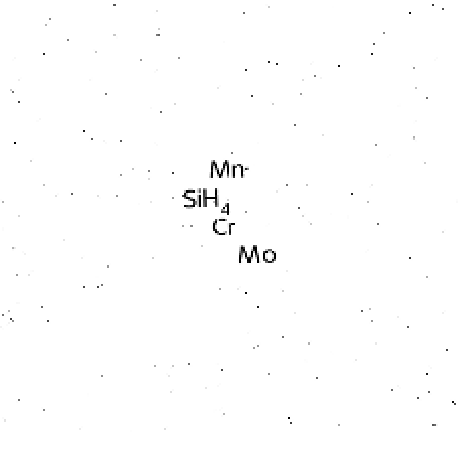 [Cr].[Mn].[Mo].[SiH4]